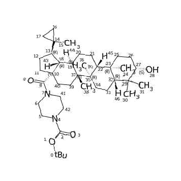 CC(C)(C)OC(=O)N1CCN(C(=O)[C@]23CC[C@@H](C4(C)CC4)[C@@H]2[C@H]2CC[C@@H]4[C@@]5(C)CC[C@H](O)C(C)(C)[C@@H]5CC[C@@]4(C)[C@]2(C)CC3)CC1